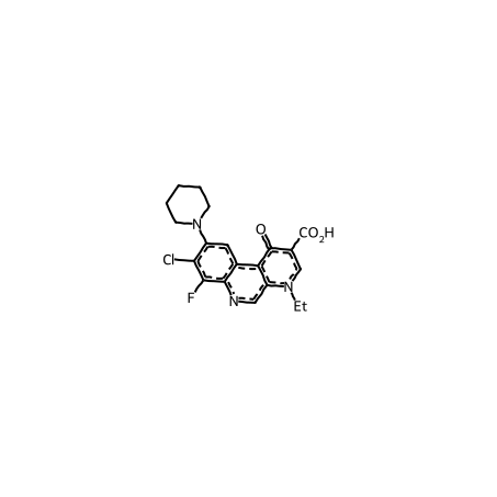 CCn1cc(C(=O)O)c(=O)c2c3cc(N4CCCCC4)c(Cl)c(F)c3ncc21